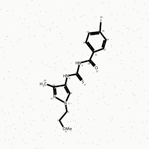 COCCn1cc(NC(=S)NC(=O)c2ccc(I)cc2)c(C)n1